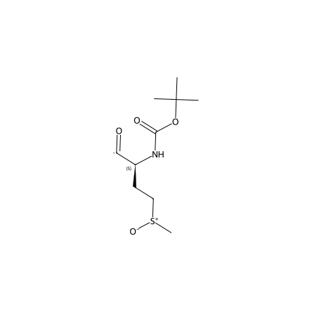 C[S+]([O-])CC[C@@H]([C]=O)NC(=O)OC(C)(C)C